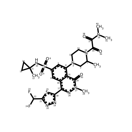 CC1CN(c2cc(S(=O)(=O)NC3(C)CC3)cc3c(-c4nnc(C(F)F)s4)nn(C)c(=O)c23)CCN1C(=O)C(=O)N(C)C